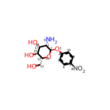 N[C@@H]1[C@@H](Oc2ccc([N+](=O)[O-])cc2)O[C@H](CO)[C@@H](O)[C@@H]1O